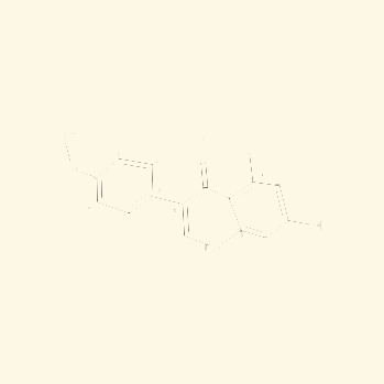 CC(C)Oc1ccc(-c2coc3cc(O)cc(O)c3c2=O)cc1